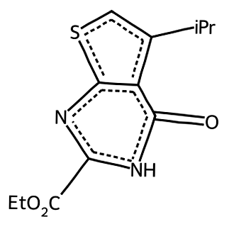 CCOC(=O)c1nc2scc(C(C)C)c2c(=O)[nH]1